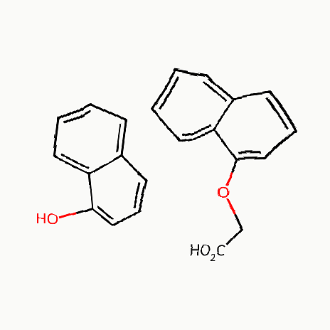 O=C(O)COc1cccc2ccccc12.Oc1cccc2ccccc12